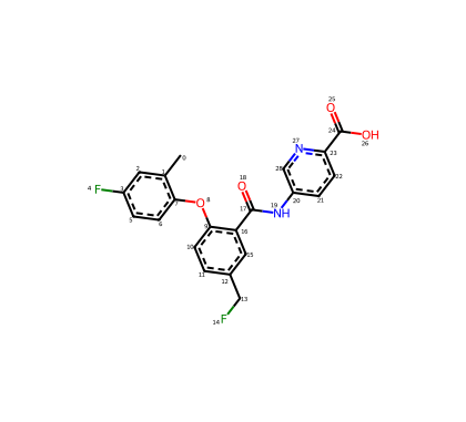 Cc1cc(F)ccc1Oc1ccc(CF)cc1C(=O)Nc1ccc(C(=O)O)nc1